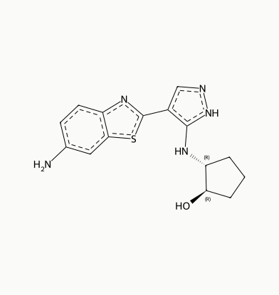 Nc1ccc2nc(-c3cn[nH]c3N[C@@H]3CCC[C@H]3O)sc2c1